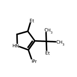 CCC1CNC(C(C)C)=C1C(C)(C)CC